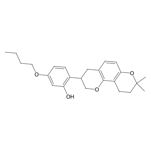 CCCCOc1ccc(C2COc3c(ccc4c3CCC(C)(C)O4)C2)c(O)c1